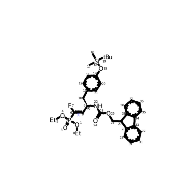 CCOP(=O)(OCC)/C(F)=C/[C@@H](Cc1ccc(O[Si](C)(C)C(C)(C)C)cc1)NC(=O)OCC1c2ccccc2-c2ccccc21